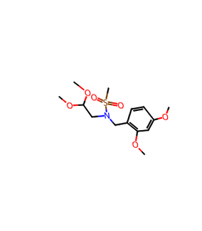 COc1ccc(CN(CC(OC)OC)S(C)(=O)=O)c(OC)c1